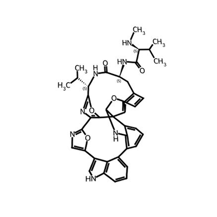 CN[C@H](C(=O)N[C@H]1Cc2ccc3c(c2)C24c5cccc(c5NC2O3)-c2cccc3[nH]cc(c23)-c2cnc(o2)-c2nc(oc24)[C@H](C(C)C)NC1=O)C(C)C